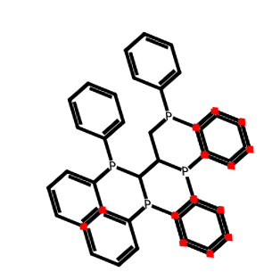 c1ccc(P(CC(C(P(c2ccccc2)c2ccccc2)P(c2ccccc2)c2ccccc2)P(c2ccccc2)c2ccccc2)c2ccccc2)cc1